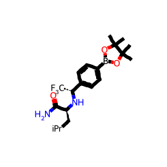 CC(C)C[C@H](N[C@@H](c1ccc(B2OC(C)(C)C(C)(C)O2)cc1)C(F)(F)F)C(N)=O